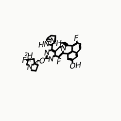 [2H]C#Cc1c(F)ccc2cc(O)cc(-c3ncc4c(N5CC6CCC5CN6)nc(OC[C@@]56CCCN5C[C@]([2H])(F)C6)nc4c3F)c12